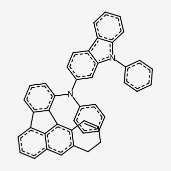 C1=Cc2c(cc3cccc4c3c2-c2c-4cccc2N(c2ccccc2)c2ccc3c4ccccc4n(-c4ccccc4)c3c2)CC1